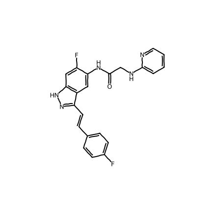 O=C(CNc1ccccn1)Nc1cc2c(C=Cc3ccc(F)cc3)n[nH]c2cc1F